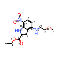 CCOC(=O)c1cc2c(NCCOC)ccc([N+](=O)[O-])c2[nH]1